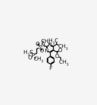 CCOC(=O)c1c(-c2ccc(F)cc2)nc(N(C)S(=O)(=O)CCP(C)(C)=O)nc1C(C)C